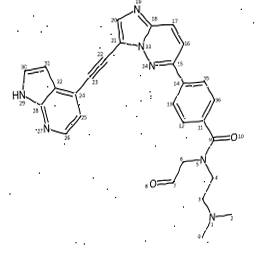 CN(C)CCN(CC=O)C(=O)c1ccc(-c2ccc3ncc(C#Cc4ccnc5[nH]ccc45)n3n2)cc1